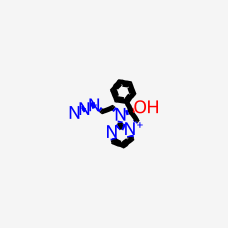 [N-]=[N+]=NCCN1c2nccc[n+]2CC1(O)c1ccccc1